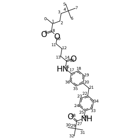 CC(CCC(C)(C)C)C(=O)OCCCC(=O)Nc1ccc(Cc2ccc(NC(=O)C(C)(C)C)cc2)cc1